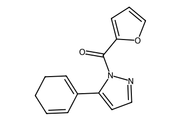 O=C(c1ccco1)n1nccc1C1=CCCC=C1